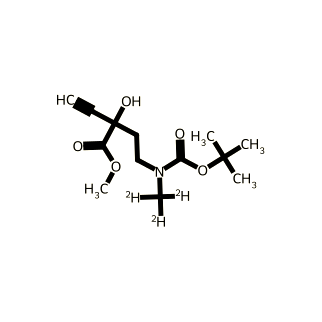 [2H]C([2H])([2H])N(CCC(O)(C#C)C(=O)OC)C(=O)OC(C)(C)C